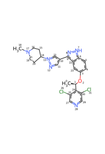 C[C@@H](Oc1ccc2[nH]nc(-c3cnn(C4CCN(C)CC4)c3)c2c1)c1c(Cl)cncc1Cl